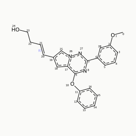 COc1cccc(-c2nc(Oc3ccccc3)c3cc(/C=C/CCO)cn3n2)c1